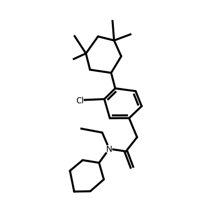 C=C(Cc1ccc(C2CC(C)(C)CC(C)(C)C2)c(Cl)c1)N(CC)C1CCCCC1